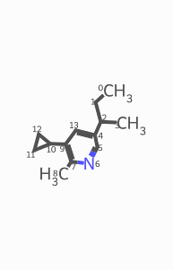 CCC(C)c1cnc(C)c(C2CC2)c1